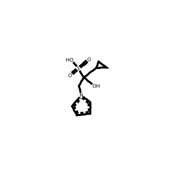 O=S(=O)(O)C(O)(Cn1cccc1)C1CC1